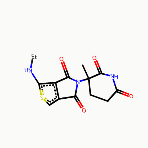 CCNc1scc2c1C(=O)N(C1(C)CCC(=O)NC1=O)C2=O